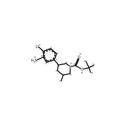 CC1CC(c2ccc(Cl)c(N)c2)CN(C(=O)OC(C)(C)C)C1